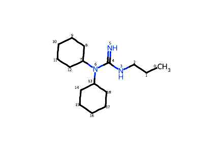 CCCNC(=N)N(C1CCCCC1)C1CCCCC1